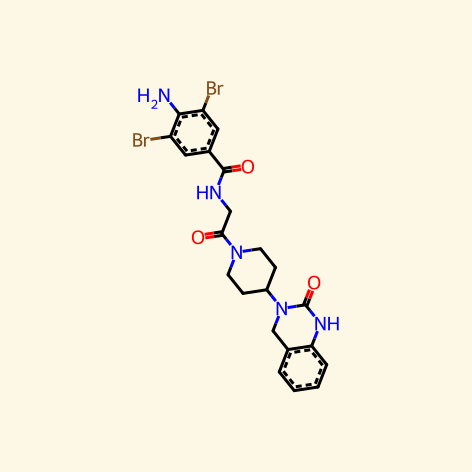 Nc1c(Br)cc(C(=O)NCC(=O)N2CCC(N3Cc4ccccc4NC3=O)CC2)cc1Br